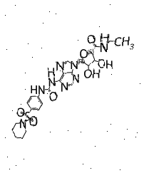 CCNC(=O)[C@H]1O[C@@H](n2cnc3c(NC(=O)Nc4ccc(S(=O)(=O)N5CCCCC5)cc4)ncnc32)C(O)C1O